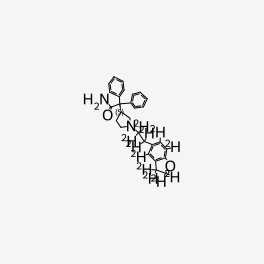 [2H]c1c([2H])c(C([2H])([2H])C([2H])([2H])N2CC[C@@H](C(C(N)=O)(c3ccccc3)c3ccccc3)C2)c([2H])c2c1OC([2H])([2H])C2([2H])[2H]